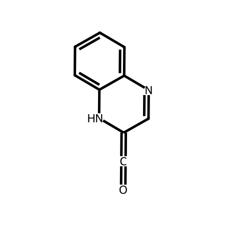 O=C=C1C=Nc2ccccc2N1